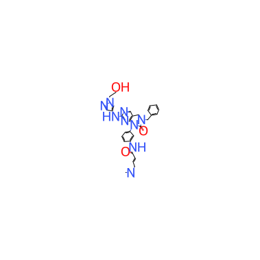 CN(C)C/C=C/C(=O)Nc1cccc(N2C(=O)N(Cc3ccccc3)Cc3cnc(Nc4cnn(CCO)c4)nc32)c1